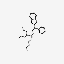 CCCCC[C@@H](CCN(c1ccccc1)C1Cc2ccccc2C1)N(CCC)CCC